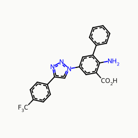 Nc1c(C(=O)O)cc(-n2cc(-c3ccc(C(F)(F)F)cc3)nn2)cc1-c1ccccc1